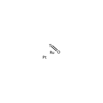 [O]=[Ti].[Pt].[Ru]